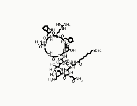 CCCCCCCCCCCCCCCCCC(=O)NCC(=O)N[C@@H](CO)C(=O)N[C@H](CCC(N)=O)C(=O)N[C@@H](CC(N)CN)C(=O)N[C@H](C(=O)N[C@@H](CCCC)C(=O)N[C@H]1CCC(=O)NCCCC[C@@H](C(N)=O)NC(=O)[C@H](Cc2c[nH]c3ccccc23)NC(=O)[C@H](CCCNC(=N)N)NC(=O)[C@@H](Cc2ccccc2)NC(=O)[C@@H]2C[C@@H](O)CN2C1=O)C(C)O